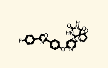 O=C1NC(=O)C2(C(=O)CCN2c2ccc(Oc3ccc(-c4nc(-c5ccc(F)cc5)co4)cc3)nc2)C(=O)N1